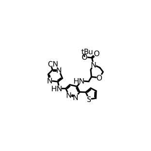 CC(C)(C)OC(=O)N1CCOC(CNc2cc(Nc3cnc(C#N)cn3)nnc2-c2cccs2)C1